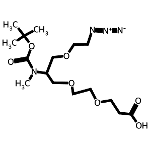 CN(C(=O)OC(C)(C)C)C(COCCN=[N+]=[N-])COCCOCCC(=O)O